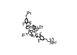 CCCCC(CC)CCc1cc(F)c(-c2ccc(C3=C4C(=O)N(CC(CC)CCCC)C(c5ccc(-c6c(F)cc(CCC(C)C)cc6F)s5)=C4C(=O)N3CC(CC)CCCC)s2)c(F)c1